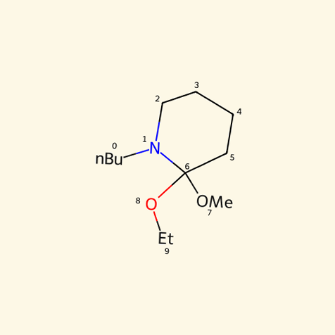 CCCCN1CCCCC1(OC)OCC